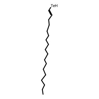 CCCCCCCCCCCCCCCCC=C[TeH]